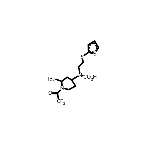 CC(C)(C)C1CC(N(CCSc2cccs2)C(=O)O)CCN1C(=O)C(F)(F)F